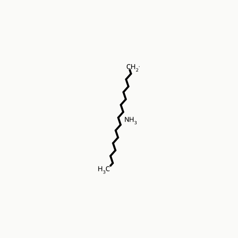 N.[CH2]CCCCCCCCCCCCCCCC